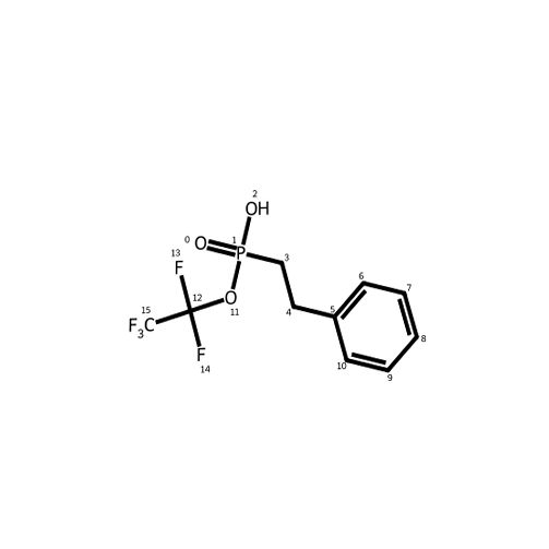 O=P(O)(CCc1ccccc1)OC(F)(F)C(F)(F)F